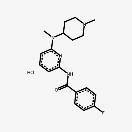 CN1CCC(N(C)c2cccc(NC(=O)c3ccc(F)cc3)n2)CC1.Cl